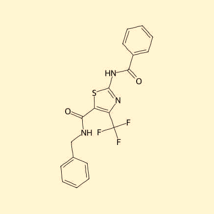 O=C(Nc1nc(C(F)(F)F)c(C(=O)NCc2ccccc2)s1)c1ccccc1